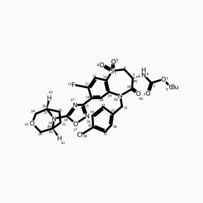 CC(C)(C)OC(=O)N[C@H]1CS(=O)(=O)c2cc(F)c(-c3noc(N4[C@@H]5CC[C@H]4COC5)n3)cc2N(Cc2ccc(Cl)cc2)C1=O